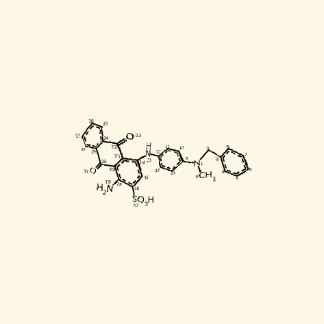 CN(Cc1ccccc1)c1ccc(Nc2cc(S(=O)(=O)O)c(N)c3c2C(=O)c2ccccc2C3=O)cc1